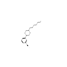 CCCCCCCC1CCC(c2cccc(C#N)c2)CC1